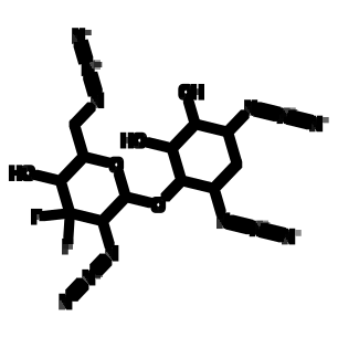 [N-]=[N+]=NCC1OC(OC2C(N=[N+]=[N-])CC(N=[N+]=[N-])C(O)C2O)C(N=[N+]=[N-])C(F)(F)C1O